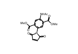 COC(=O)c1cc(N2C(=O)C=CC2=O)c(C(=O)OC)cc1NC(C)=O